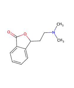 CN(C)CCC1OC(=O)c2ccccc21